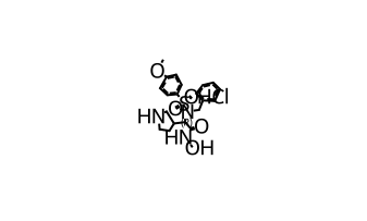 COc1ccc(S(=O)(=O)N(Cc2ccccc2)[C@@H](C(=O)NO)C2CCNC2)cc1.Cl